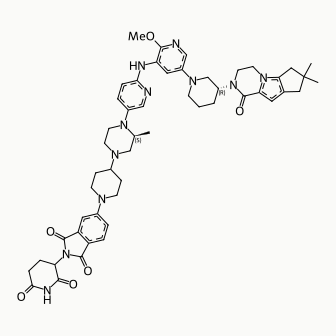 COc1ncc(N2CCC[C@@H](N3CCn4c(cc5c4CC(C)(C)C5)C3=O)C2)cc1Nc1ccc(N2CCN(C3CCN(c4ccc5c(c4)C(=O)N(C4CCC(=O)NC4=O)C5=O)CC3)C[C@@H]2C)cn1